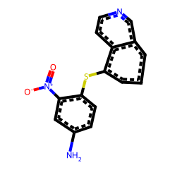 Nc1ccc(Sc2cccc3cnccc23)c([N+](=O)[O-])c1